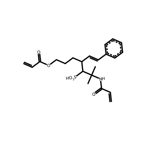 C=CC(=O)NC(C)(C)C(C(C=Cc1ccccc1)CCCOC(=O)C=C)S(=O)(=O)O